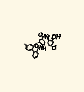 Cc1ccc(-c2ccccc2C(=O)Nc2ccc(C(=O)N(C)c3ccc(Cl)cc3O)cc2C)cc1